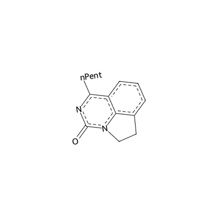 CCCCCc1nc(=O)n2c3c(cccc13)CC2